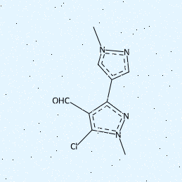 Cn1cc(-c2nn(C)c(Cl)c2C=O)cn1